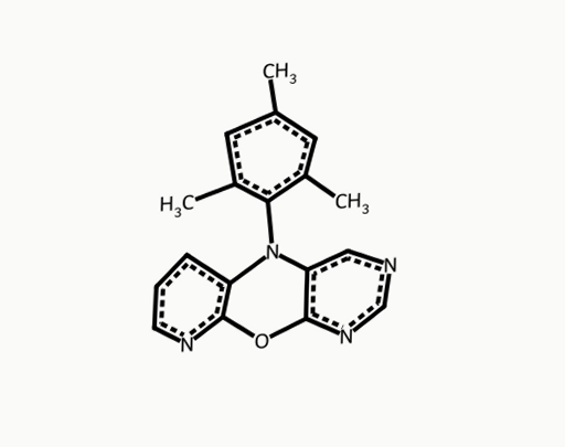 Cc1cc(C)c(N2c3cccnc3Oc3ncncc32)c(C)c1